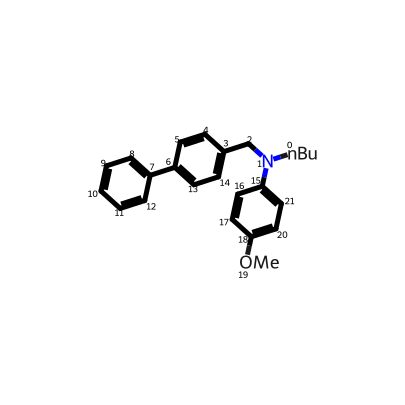 CCCCN(Cc1ccc(-c2ccccc2)cc1)c1ccc(OC)cc1